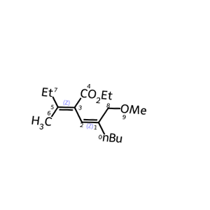 CCCC/C(=C/C(C(=O)OCC)=C(\C)CC)COC